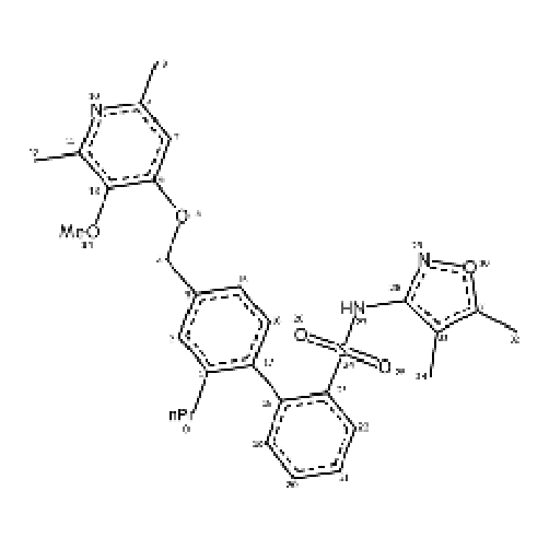 CCCc1cc(COc2cc(C)nc(C)c2OC)ccc1-c1ccccc1S(=O)(=O)Nc1noc(C)c1C